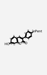 CCCCCc1ccc(-c2cc3ccc(O)cc3oc2=O)cc1